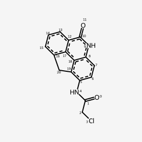 O=C(CCl)Nc1ccc2[nH]c(=O)c3cccc4c3c2c1C4